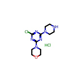 Cl.Clc1nc(N2CCNCC2)nc(N2CCOCC2)n1